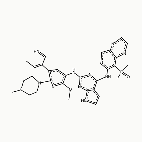 C/C=C(\C=N)c1cc(Nc2nc(Nc3ccc4nccnc4c3P(C)(C)=O)c3cc[nH]c3n2)c(OC)nc1N1CCN(C)CC1